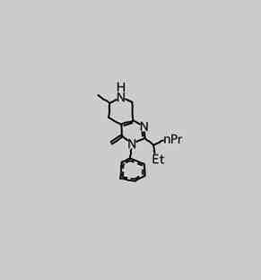 C=C1C2=C(CNC(C)C2)N=C(C(CC)CCC)N1c1ccccc1